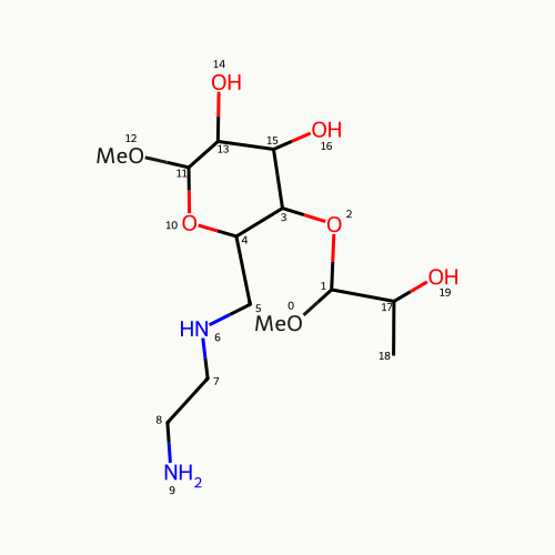 COC(OC1C(CNCCN)OC(OC)C(O)C1O)C(C)O